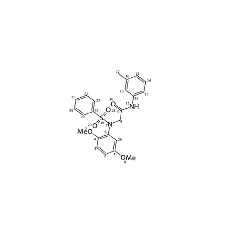 COc1ccc(OC)c(N(CC(=O)Nc2cccc(C)c2)S(=O)(=O)c2ccccc2)c1